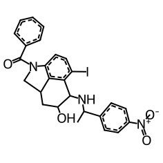 CC(NC1c2c(I)ccc3c2C(CC1O)CN3C(=O)c1ccccc1)c1ccc([N+](=O)[O-])cc1